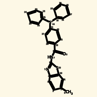 Cc1ccc2nc(NC(=O)c3ccc([S+](c4ccccc4)c4ccccc4)cc3)sc2c1